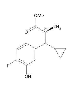 COC(=O)[C@@H](C)C(c1ccc(I)c(O)c1)C1CC1